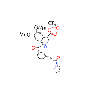 COc1cc2c(C(=O)OC(=O)C(F)(F)F)cnc(C(=O)c3cccc(C=CC(=O)N4CCCC4)c3)c2cc1OC